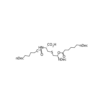 CCCCCCCCCCCCCCCC(=O)N[C@@H](CSC[C@H](CCCCCCCCCC)OC(=O)CCCCCCCCCCCCCCC)C(=O)O